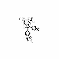 CC=Cn1nc(-c2ccc(S(N)(=O)=O)cc2)c(-c2ccc(Cl)cc2)c1C(F)(F)C(F)(F)F